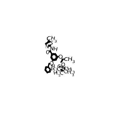 Cc1cnc(NC(=O)c2cc(OCc3ccccc3)cc(O[C@@H](C)CO[Si](C)(C)C(C)(C)C)c2)s1